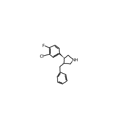 Fc1ccc([C@H]2CNC[C]2Cc2ccccc2)cc1Cl